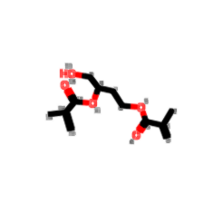 C=C(C)C(=O)OCCC(CO)OC(=O)C(=C)C